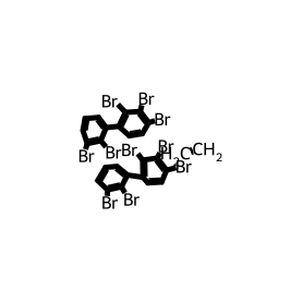 Brc1cccc(-c2ccc(Br)c(Br)c2Br)c1Br.Brc1cccc(-c2ccc(Br)c(Br)c2Br)c1Br.C=C